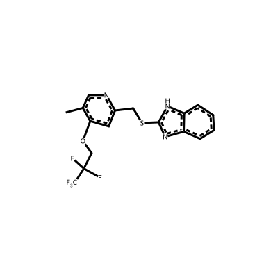 Cc1cnc(CSc2nc3ccccc3[nH]2)cc1OCC(F)(F)C(F)(F)F